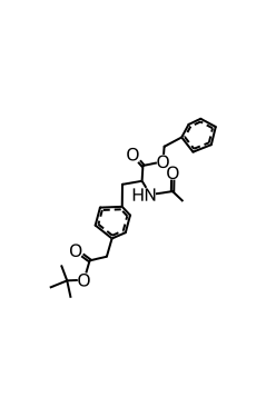 CC(=O)NC(Cc1ccc(CC(=O)OC(C)(C)C)cc1)C(=O)OCc1ccccc1